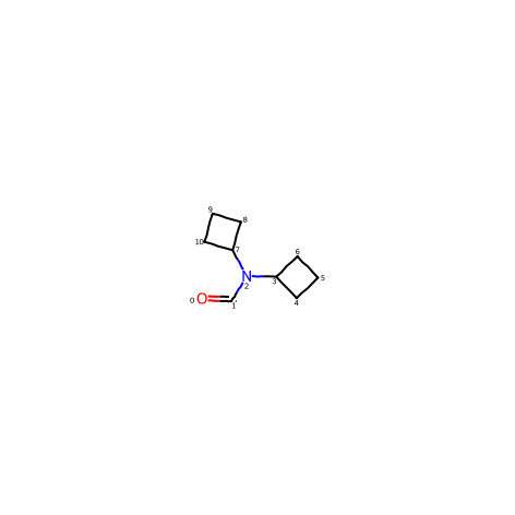 O=[C]N(C1CCC1)C1CCC1